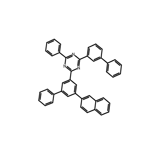 c1ccc(-c2cccc(-c3nc(-c4ccccc4)nc(-c4cc(-c5ccccc5)cc(-c5ccc6ccccc6c5)c4)n3)c2)cc1